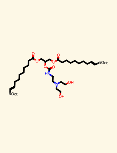 CCCCCCCCC=CCCCCCCCC(=O)OCC(COC(=O)CCCCCCCC=CCCCCCCCC)OC(=O)NCCN(CCO)CCO